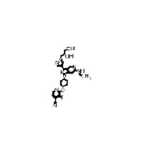 CCNc1cc2c(cn1)c(-c1cnn(C[C@@H](O)CO)c1)nn2[C@H]1CC[C@@H](Oc2nccc(C#N)c2F)CC1